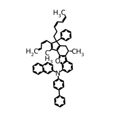 C=C/C=C\C1=C(C)C2=C(C[C@@H](C)c3c2oc2c(N(c4ccc(-c5ccccc5)cc4)c4ccc5ccccc5c4)cccc32)C1(CC/C=C\C=C/C)c1ccccc1